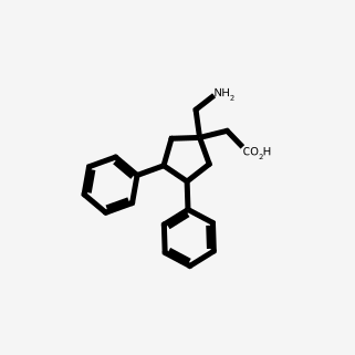 NCC1(CC(=O)O)CC(c2ccccc2)C(c2ccccc2)C1